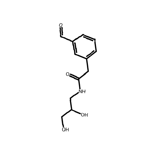 O=Cc1cccc(CC(=O)NCC(O)CO)c1